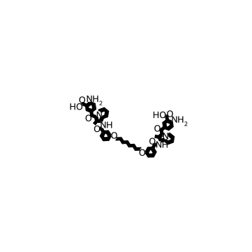 Cc1c(NC(=O)c2cccc(OCCCCCCCCOc3cccc(C(=O)Nc4c(C)c(C(=O)c5ccc(N)c(C(=O)O)c5)n5ccccc45)c3)c2)c2ccccn2c1C(=O)c1ccc(N)c(C(=O)O)c1